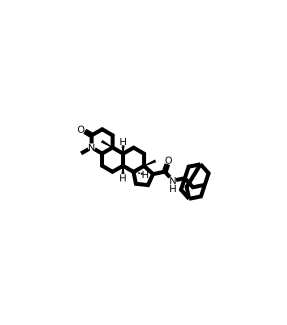 CN1C(=O)CC[C@@]2(C)C1CC[C@@H]1[C@H]2CC[C@]2(C)C(C(=O)NC34CC5CC(CC(C5)C3)C4)CC[C@@H]12